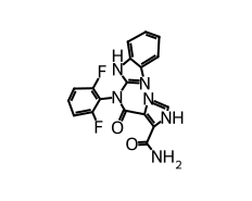 NC(=O)c1[nH]cnc1C(=O)N(c1nc2ccccc2[nH]1)c1c(F)cccc1F